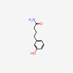 NC(=O)CCCc1cccc(O)c1